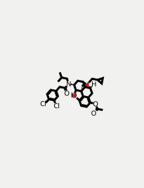 CC(=O)Oc1ccc2c3c1C[C@@H]1[C@@H]4CC[C@H](N(CC(C)C)C(=O)Cc5ccc(Cl)c(Cl)c5)[C@H](O2)[C@]34CCN1CC1CC1